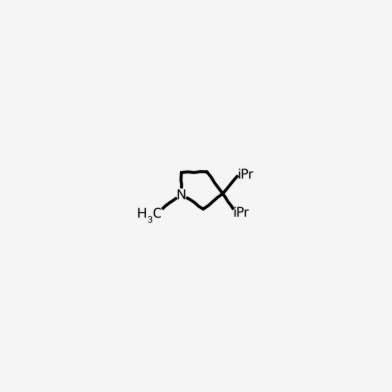 CC(C)C1(C(C)C)CCN(C)C1